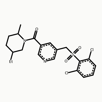 CCC1CCC(C)N(C(=O)c2cncc(CS(=O)(=O)c3c(Cl)cccc3Cl)c2)C1